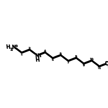 NCCNCCCCCCCCO